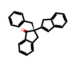 O=C1c2ccccc2C[C@@]1(Cc1ccccc1)C1=Cc2ccccc2C1